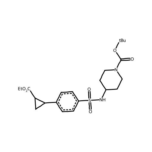 CCOC(=O)C1CC1c1ccc(S(=O)(=O)NC2CCN(C(=O)OC(C)(C)C)CC2)cc1